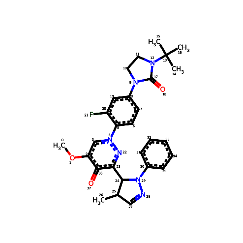 COc1cn(-c2ccc(N3CCN(C(C)(C)C)C3=O)cc2F)nc(C2C(C)C=NN2c2ccccc2)c1=O